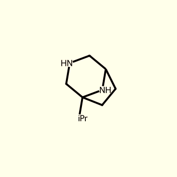 CC(C)C12CCC(CNC1)N2